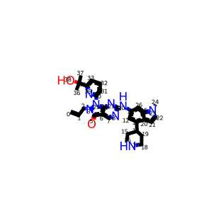 C=CCn1c(=O)c2cnc(Nc3cc(C4CCNCC4)c4ccn(C)c4c3)nc2n1-c1cccc(C(C)(C)O)n1